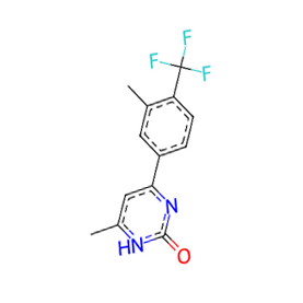 Cc1cc(-c2ccc(C(F)(F)F)c(C)c2)nc(=O)[nH]1